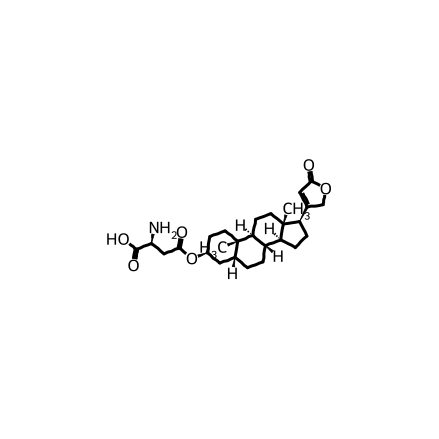 C[C@]12CC[C@H](OC(=O)C[C@H](N)C(=O)O)C[C@H]1CC[C@@H]1[C@@H]2CC[C@]2(C)[C@@H](C3=CC(=O)OC3)CC[C@@H]12